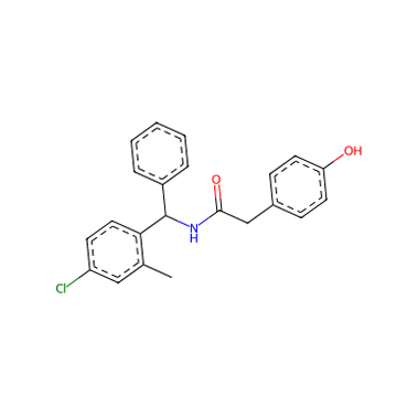 Cc1cc(Cl)ccc1C(NC(=O)Cc1ccc(O)cc1)c1ccccc1